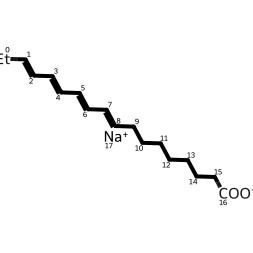 CCC=CC=CC=CC=CCCCCCCCC(=O)[O-].[Na+]